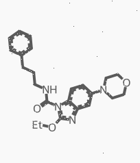 CCOc1nc2cc(N3CCOCC3)ccc2n1C(=O)NCCCc1ccccc1